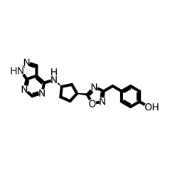 Oc1ccc(Cc2noc([C@H]3CC[C@H](Nc4ncnc5[nH]ncc45)C3)n2)cc1